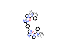 CN(C)[C@@H](C(=O)N1CCC[C@H]1C1=NCC(CCc2ccc(-c3cnc([C@@H]4CCCN4C(=O)[C@@H](c4ccccc4)N(C)C)[nH]3)cc2)N1)c1ccccc1